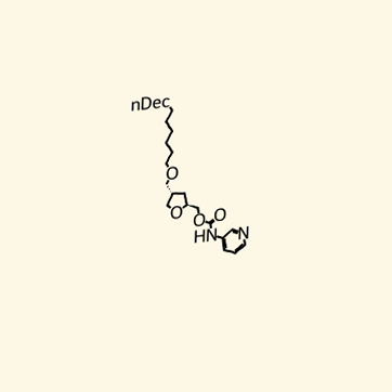 CCCCCCCCCCCCCCCCOC[C@H]1CO[C@H](COC(=O)Nc2cccnc2)C1